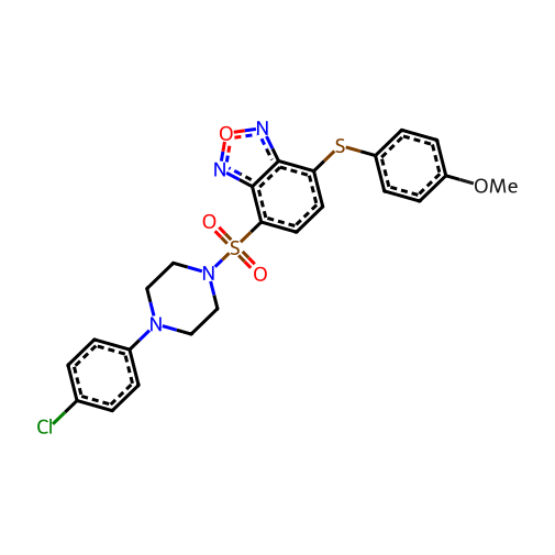 COc1ccc(Sc2ccc(S(=O)(=O)N3CCN(c4ccc(Cl)cc4)CC3)c3nonc23)cc1